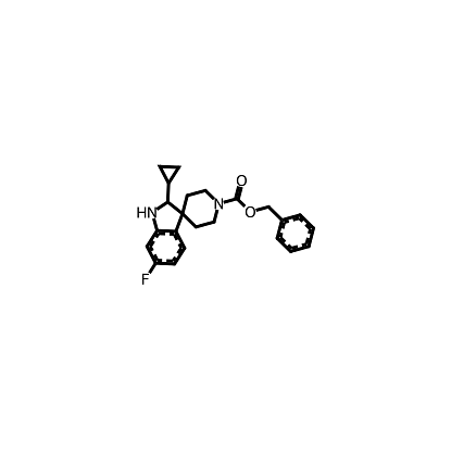 O=C(OCc1ccccc1)N1CCC2(CC1)c1ccc(F)cc1NC2C1CC1